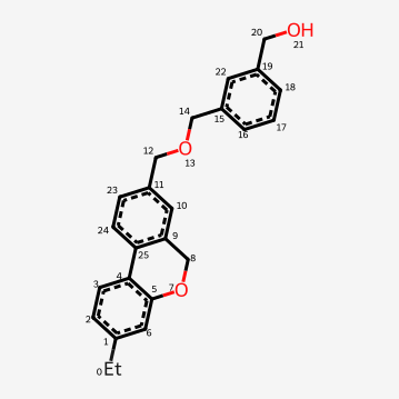 CCc1ccc2c(c1)OCc1cc(COCc3cccc(CO)c3)ccc1-2